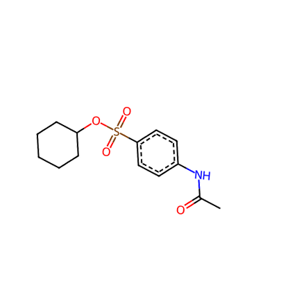 CC(=O)Nc1ccc(S(=O)(=O)OC2CCCCC2)cc1